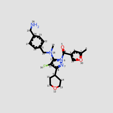 Cc1cc(C(=O)n2nc(C3CCOCC3)c(F)c2N(C)Cc2ccc(CN)cc2)co1